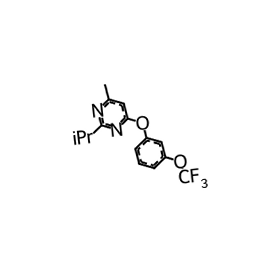 Cc1cc(Oc2cccc(OC(F)(F)F)c2)nc(C(C)C)n1